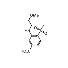 COCCNc1c(S(C)(=O)=O)ccc(C(=O)O)c1C